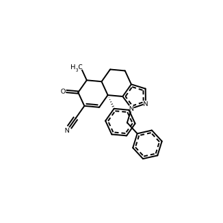 CC1C(=O)C(C#N)=C[C@]2(c3ccccc3)c3c(cnn3Cc3ccccc3)CCC12